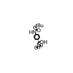 CC(C)(C)OC(=O)N[C@H]1CC[C@H](C(O)CS(C)(=O)=O)CC1